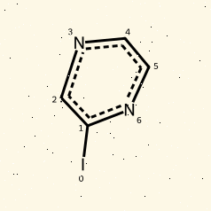 Ic1[c]nccn1